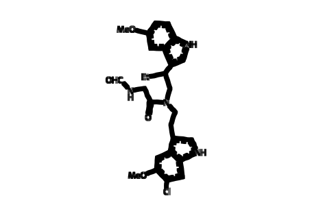 CCC(CN(CCc1c[nH]c2cc(Cl)c(OC)cc12)C(=O)CNC=O)c1c[nH]c2ccc(OC)cc12